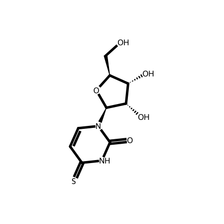 O=c1[nH]c(=S)ccn1[C@H]1O[C@@H](CO)[C@H](O)[C@@H]1O